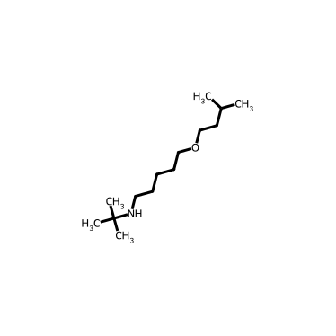 CC(C)CCOCCCCCNC(C)(C)C